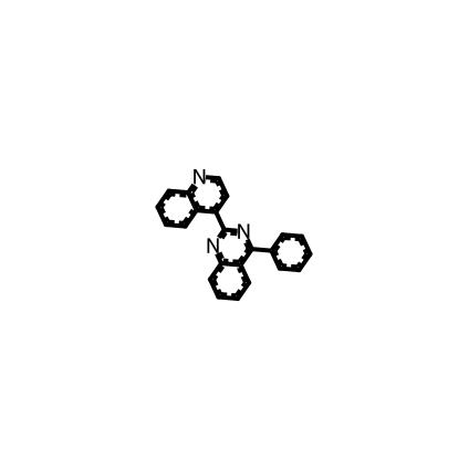 c1ccc(-c2nc(-c3ccnc4ccccc34)nc3ccccc23)cc1